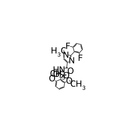 COc1cccc(OC)c1S(=O)(=O)NC(=O)c1cn(C)c(-c2c(F)cccc2F)n1